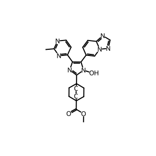 COC(=O)C12CCC(c3nc(-c4ccnc(C)n4)c(-c4ccc5ncnn5c4)n3O)(CC1)CC2